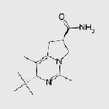 CC1=N[C@H](C(C)(C)C)C(C)=C2C[C@@H](C(N)=O)CN12